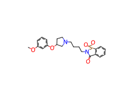 COc1cccc(OC2CCN(CCCCN3C(=O)c4ccccc4S3(=O)=O)C2)c1